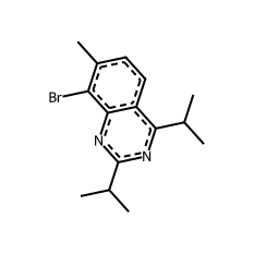 Cc1ccc2c(C(C)C)nc(C(C)C)nc2c1Br